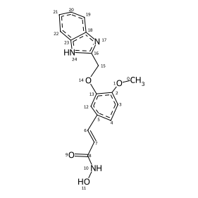 COc1ccc(/C=C/C(=O)NO)cc1OCc1nc2ccccc2[nH]1